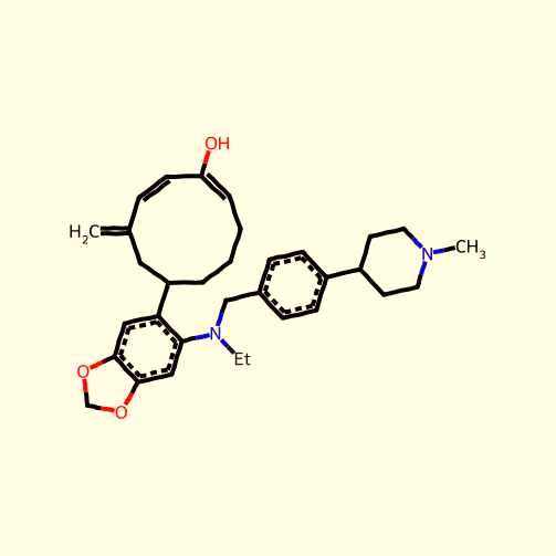 C=C1/C=C\C(O)=C/CCCC(c2cc3c(cc2N(CC)Cc2ccc(C4CCN(C)CC4)cc2)OCO3)C1